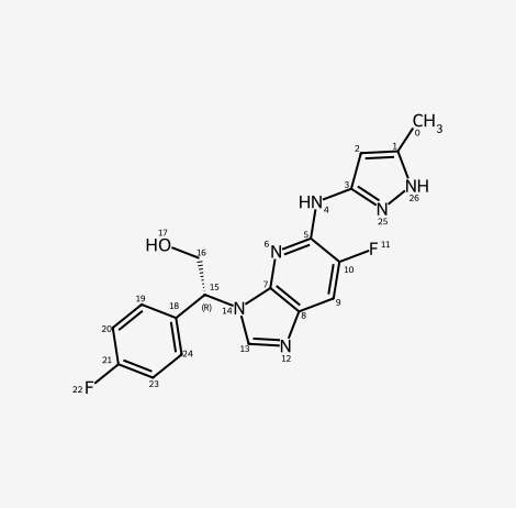 Cc1cc(Nc2nc3c(cc2F)ncn3[C@@H](CO)c2ccc(F)cc2)n[nH]1